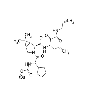 C=CCNC(=O)C(=O)C(CC=C)NC(=O)[C@@H]1C2C(CN1C(=O)[C@@H](NC(=O)OC(C)(C)C)C1CCCC1)C2(C)C